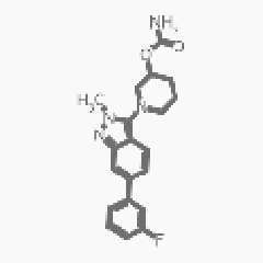 Cn1nc2cc(-c3cccc(F)c3)ccc2c1N1CCCC(OC(N)=O)C1